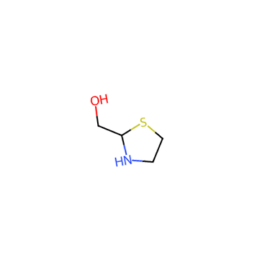 OCC1NCCS1